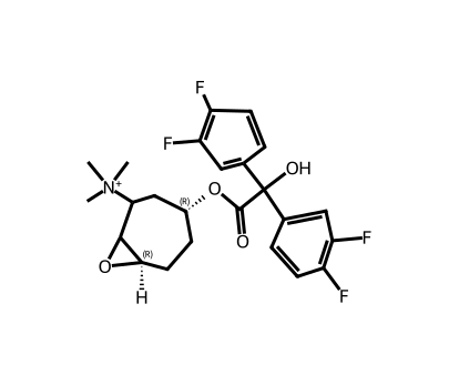 C[N+](C)(C)C1C[C@H](OC(=O)C(O)(c2ccc(F)c(F)c2)c2ccc(F)c(F)c2)CC[C@H]2OC12